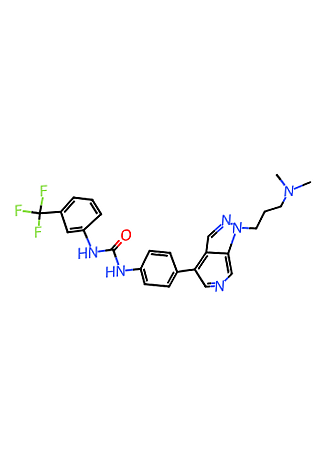 CN(C)CCCn1ncc2c(-c3ccc(NC(=O)Nc4cccc(C(F)(F)F)c4)cc3)cncc21